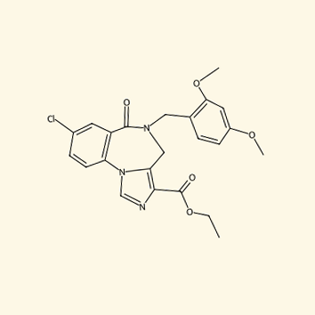 CCOC(=O)c1ncn2c1CN(Cc1ccc(OC)cc1OC)C(=O)c1cc(Cl)ccc1-2